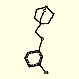 CCc1cccc(OCC23CCN(CC2)CC3)c1